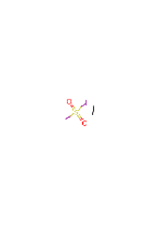 CC.O=S(=O)(I)I